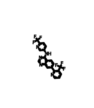 FC(F)(F)c1ccc(Nc2ncnc3cc(-c4ncccc4C(F)(F)F)ccc23)cn1